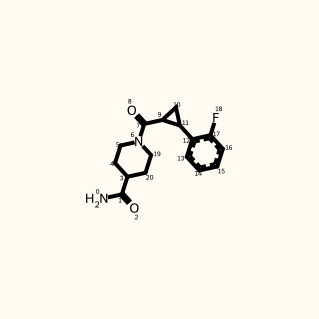 NC(=O)C1CCN(C(=O)C2CC2c2ccccc2F)CC1